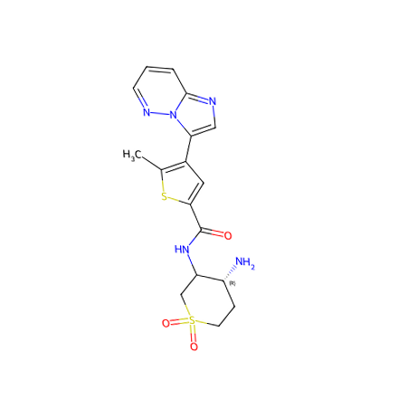 Cc1sc(C(=O)NC2CS(=O)(=O)CC[C@H]2N)cc1-c1cnc2cccnn12